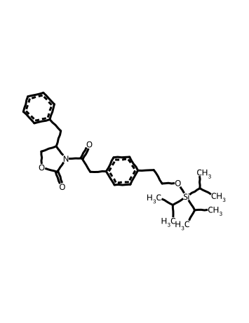 CC(C)[Si](OCCc1ccc(CC(=O)N2C(=O)OCC2Cc2ccccc2)cc1)(C(C)C)C(C)C